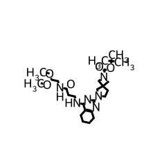 COC(CNC(=O)CCNc1nc(N2CCC3(CN(C(=O)OC(C)(C)C)C3)C2)nc2c1CCCC2)OC